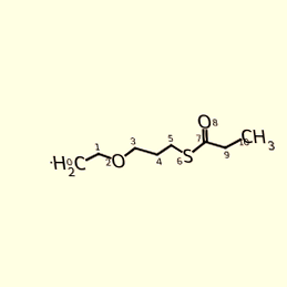 [CH2]COCCCSC(=O)CC